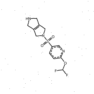 O=S(=O)(c1ccc(OC(F)F)nc1)N1CC2=C(CNC2)C1